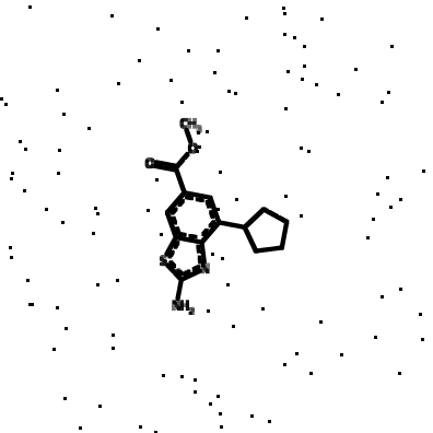 COC(=O)c1cc(C2CCCC2)c2nc(N)sc2c1